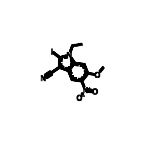 CCn1c(I)c(C#N)c2cc([N+](=O)[O-])c(OC)cc21